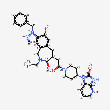 O=C(C[C@@H]1Cc2cc(Cl)c3c(cnn3Cc3ccccc3)c2CN(CC(F)(F)F)C1=O)N1CCC(n2c(=O)[nH]c3ncccc32)CC1